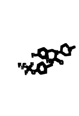 CN1CCC(N(Cc2ccc(F)cn2)C(=O)NCc2ccc(OC(F)(F)C(F)(F)F)cc2)CC1